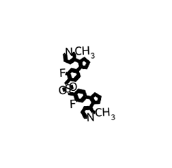 Cc1ncccc1C1=C(c2ccc(CS(=O)(=O)Cc3ccc(C4=C(c5cccnc5C)CCC4)cc3F)c(F)c2)CCC1